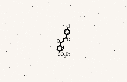 CCOC(=O)c1ccc(C(=O)CCC(=O)c2ccc(Cl)cc2)nc1